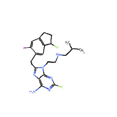 CC(C)CNCCn1c(Cc2cc3c(cc2I)CCC3F)nc2c(N)nc(F)nc21